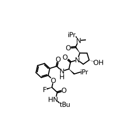 CC(C)C[C@@H](NC(=O)c1ccccc1O[C@H](F)C(=O)NC(C)(C)C)C(=O)N1C[C@@H](O)C[C@@H]1C(=O)N(C)C(C)C